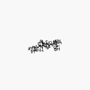 C=C(OO)N1NNN=C1SCC1=C(C(=O)O)N2C(=O)C(NC(=O)CS/C(=N/C(C)C)NC(C)C)C2SC1